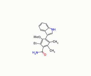 CCc1c(OC)c(-c2c[nH]c3ccccc23)c(C)c(C)c1C(N)=O